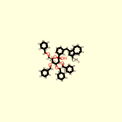 Cc1cc(Cc2cccc(C3(O)O[C@H](COCc4ccccc4)[C@@H](OCc4ccccc4)[C@H](OCc4ccccc4)[C@H]3OCc3ccccc3)c2)c2cccccc1-2